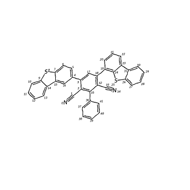 N#Cc1c(-c2ccc3sc4ccccc4c3c2)cc(-c2cccc3c2sc2ccccc23)c(C#N)c1-c1ccccc1